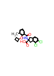 Cc1cccc(C(=O)NC2(C(=O)O)Cc3ccc(Cl)c(Cl)c3C2)c1OC1CCC1